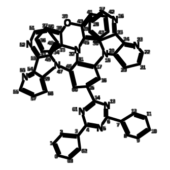 c1ccc(-c2nc(-c3ccccc3)nc(-c3cc(-n4c5cccnc5c5ncccc54)c(N4c5ccccc5Oc5ccccc54)c(-n4c5cccnc5c5ncccc54)c3)n2)cc1